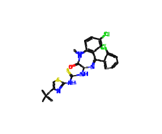 CN1C(=O)C(NC(=S)Nc2nc(C(C)(C)C)cs2)N=C(c2ccccc2Cl)c2cc(Cl)ccc21